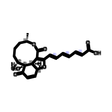 C[C@H]1CCC[C@@H](O)[C@]2(O)C(=O)C=C[C@@H]3OC(/C=C/C=C/C=C/C(=O)O)=C(C(=O)O1)[C@@H]32